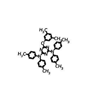 Cc1ccc(N(c2ccc(C)cc2)c2nc(Oc3cc(C)cc(C)c3)nc(N(c3ccc(C)cc3)c3ccc(C)cc3)n2)cc1